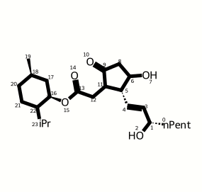 CCCCC[C@H](O)C=C[C@H]1C(O)CC(=O)C1CC(=O)O[C@@H]1C[C@H](C)CCC1C(C)C